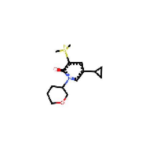 C[SH](C)c1cc(C2CC2)cn(C2CCCOC2)c1=O